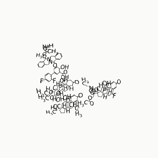 CC(=O)[C@H]1CC[C@H]2[C@@H]3C[C@H](C)C4=CC(=O)C=C[C@]4(C)[C@H]3[C@@H](O)C[C@]12C.CC1(C)O[C@@H]2C[C@H]3[C@@H]4CC[C@H]5CC(=O)CC[C@]5(C)[C@@]4(F)[C@@H](O)C[C@]3(C)[C@]2(C(=O)CO)O1.CCCC(=O)O[C@]1(C(=O)COC(C)=O)CC[C@H]2[C@@H]3C[C@H](F)C4=CC(=O)C=C[C@]4(C)[C@@]3(F)[C@@H](O)C[C@@]21C.C[S+](C)[O-].O=C(O)c1cc(-c2ccc(F)cc2F)ccc1O.O=C1c2ccccc2CN2C(=O)c3ccccc3CN12.[NaH]